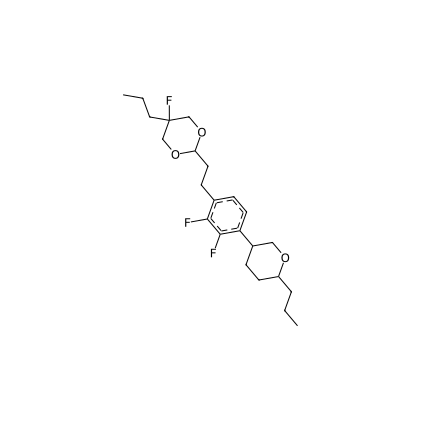 CCCC1CCC(c2ccc(CCC3OCC(F)(CCC)CO3)c(F)c2F)CO1